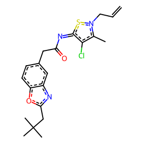 C=CCn1sc(=NC(=O)Cc2ccc3oc(CC(C)(C)C)nc3c2)c(Cl)c1C